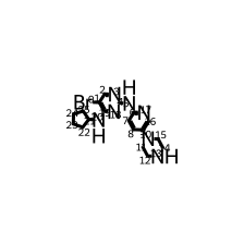 Brc1cnc(Nc2ccc(N3CCNCC3)cn2)nc1NC1CCCC1